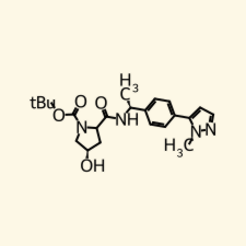 C[C@H](NC(=O)C1C[C@@H](O)CN1C(=O)OC(C)(C)C)c1ccc(-c2ccnn2C)cc1